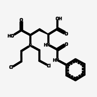 O=C(Nc1ccccc1)N[C@@H](CC(C(=O)O)N(CCCl)CCCl)C(=O)O